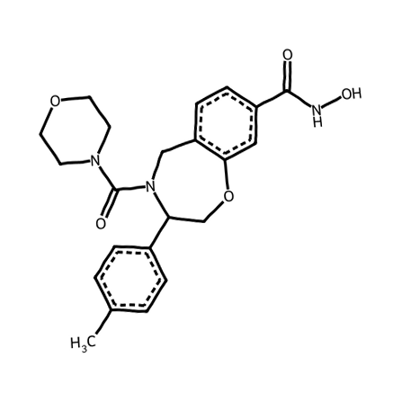 Cc1ccc(C2COc3cc(C(=O)NO)ccc3CN2C(=O)N2CCOCC2)cc1